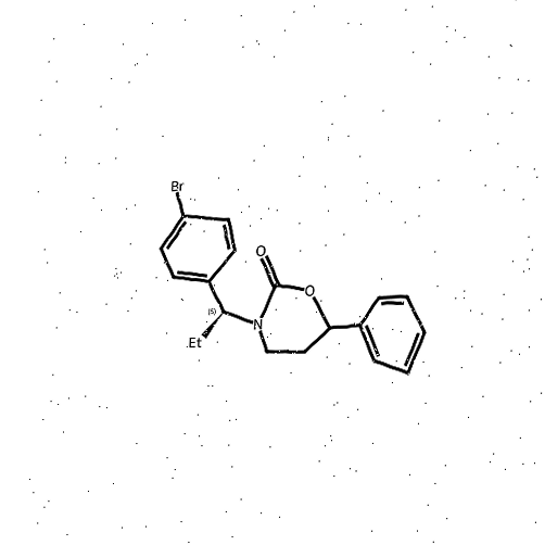 CC[C@@H](c1ccc(Br)cc1)N1CCC(c2ccccc2)OC1=O